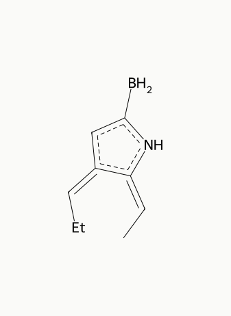 Bc1cc(=C/CC)/c(=C\C)[nH]1